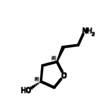 NCC[C@@H]1C[C@@H](O)CO1